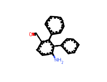 Nc1ccc(C=O)c(-c2ccccc2)c1-c1ccccc1